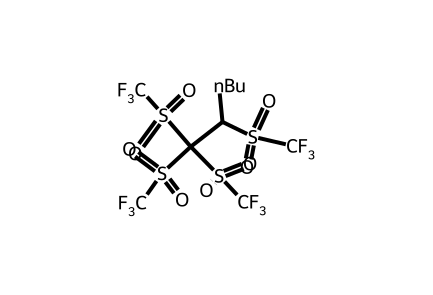 CCCCC(C(S(=O)(=O)C(F)(F)F)(S(=O)(=O)C(F)(F)F)S(=O)(=O)C(F)(F)F)S(=O)(=O)C(F)(F)F